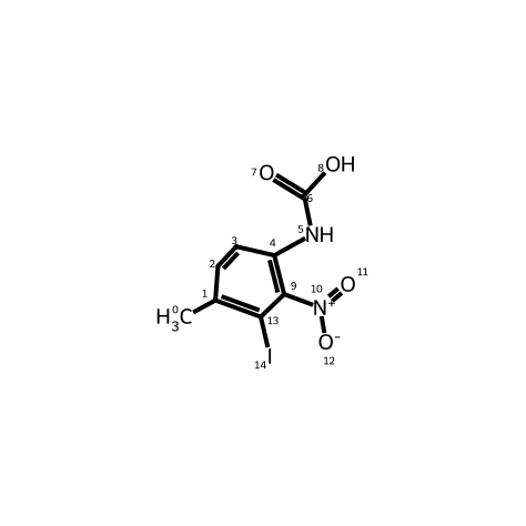 Cc1ccc(NC(=O)O)c([N+](=O)[O-])c1I